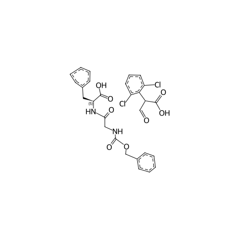 O=C(CNC(=O)OCc1ccccc1)N[C@@H](Cc1ccccc1)C(=O)O.O=CC(C(=O)O)c1c(Cl)cccc1Cl